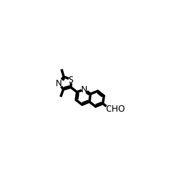 Cc1nc(C)c(-c2ccc3cc(C=O)ccc3n2)s1